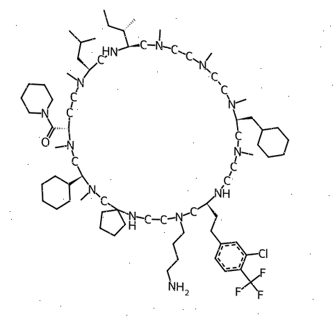 CC[C@H](C)[C@H]1CN(C)CCN(C)CCN(C)[C@@H](CC2CCCCC2)CN(C)CCN[C@@H](CCc2ccc(C(F)(F)F)c(Cl)c2)CN(CCCCN)CCNC2(CCCC2)CN(C)[C@@H](C2CCCCC2)CN(C)[C@H](C(=O)N2CCCCC2)CCN(C)[C@@H](CC(C)C)CN1